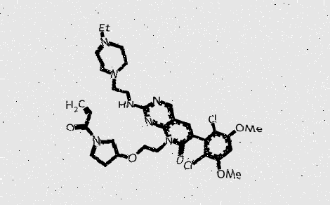 C=CC(=O)N1CCC(OCCn2c(=O)c(-c3c(Cl)c(OC)cc(OC)c3Cl)cc3cnc(NCCN4CCN(CC)CC4)nc32)C1